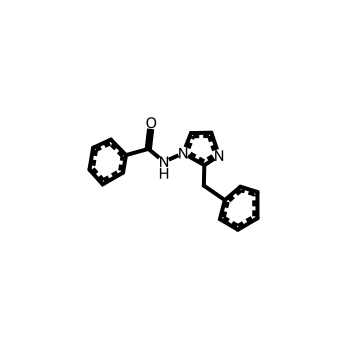 O=C(Nn1ccnc1Cc1ccccc1)c1ccccc1